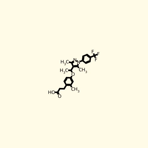 Cc1cc(OC(C)c2c(C)nn(-c3ccc(C(F)(F)F)cc3)c2C)ccc1CCC(=O)O